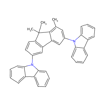 Cc1cc(-n2c3ccccc3c3ccccc32)cc2c1C(C)(C)c1ccc(-n3c4ccccc4c4ccccc43)cc1-2